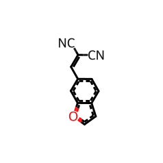 N#CC(C#N)=Cc1ccc2ccoc2c1